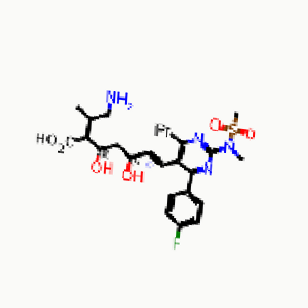 CC(C)c1nc(N(C)S(C)(=O)=O)nc(-c2ccc(F)cc2)c1/C=C/[C@@H](O)C[C@@H](O)C(C(=O)O)C(C)CN